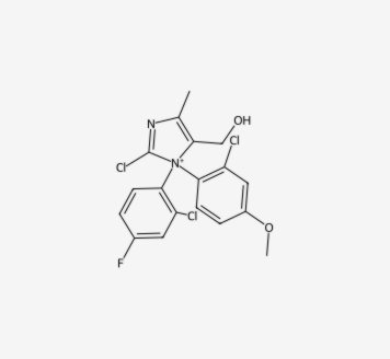 COc1ccc([N+]2(c3ccc(F)cc3Cl)C(Cl)=NC(C)=C2CO)c(Cl)c1